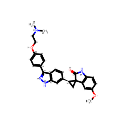 COc1ccc2c(c1)C1(C[C@H]1c1ccc3c(-c4ccc(OCCN(C)C)cc4)n[nH]c3c1)C(=O)N2